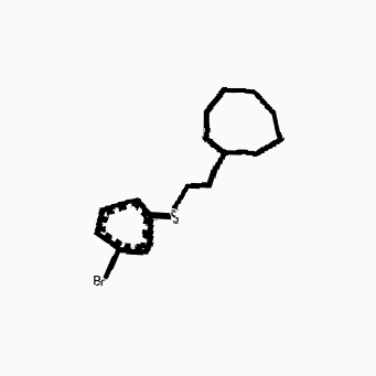 Brc1cccc(SCCC2CCCCCCC2)c1